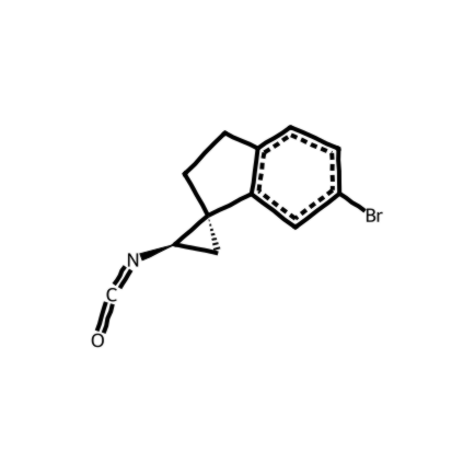 O=C=N[C@@H]1C[C@@]12CCc1ccc(Br)cc12